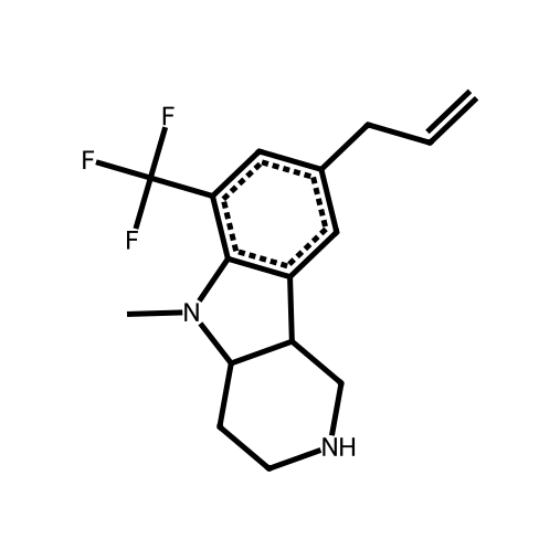 C=CCc1cc2c(c(C(F)(F)F)c1)N(C)C1CCNCC21